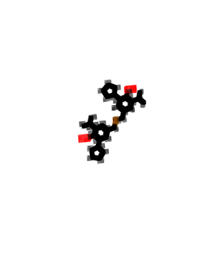 CC(C)c1cc(CSCc2cc(C(C)C)c(O)c(C3CCCC3)c2)cc(C2CCCC2)c1O